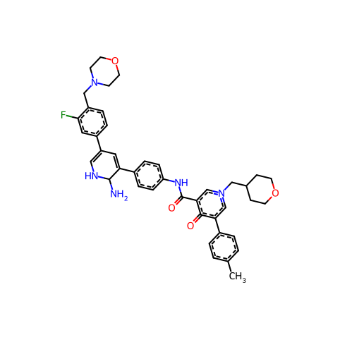 Cc1ccc(-c2cn(CC3CCOCC3)cc(C(=O)Nc3ccc(C4=CC(c5ccc(CN6CCOCC6)c(F)c5)=CNC4N)cc3)c2=O)cc1